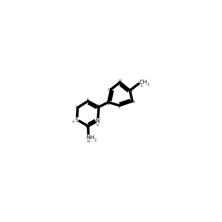 Cc1ccc(C2=CCSC(N)=N2)cc1